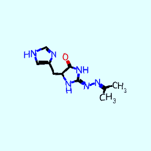 CC(C)=N/N=C1\NC(=O)C(Cc2c[nH]cn2)N1